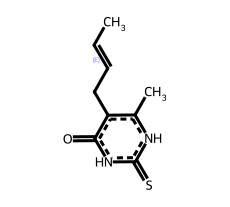 C/C=C/Cc1c(C)[nH]c(=S)[nH]c1=O